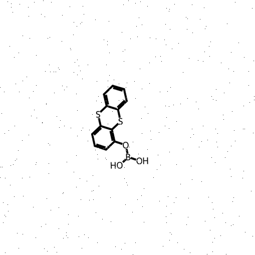 OB(O)Oc1cccc2c1Sc1ccccc1S2